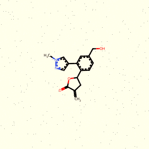 C=C1CC(c2ccc(CO)cc2-c2cnn(C)c2)OC1=O